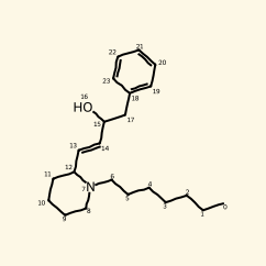 CCCCCCCN1CCCCC1/C=C/C(O)Cc1ccccc1